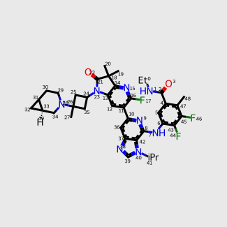 CCNC(=O)c1cc(Nc2nc(-c3cc4c(nc3F)C(C)(C)C(=O)N4C3CC(C)(N4CCC5C[C@@H]5C4)C3)cc3ncn(C(C)C)c23)c(F)c(F)c1C